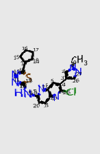 Cn1cc(-c2cc3nc(Nc4nnc(C5CCCC5)s4)ccc3nc2Cl)cn1